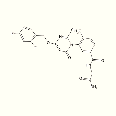 Cc1ccc(C(=O)NCC(N)=O)cc1-n1c(Cl)nc(OCc2ccc(F)cc2F)cc1=O